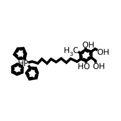 Cc1c(O)c(CO)c(CO)c(O)c1CCCCCCCCCC[PH](c1ccccc1)(c1ccccc1)c1ccccc1